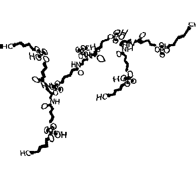 C#CCCCCOP(=O)(O)OCCCCC(=O)NCC(CNC(=O)CCCCOP(=O)(O)OCCCCC#C)OP(=O)(O)OCCCCC(=O)NCC(CNC(=O)CCCCOP(=O)(O)OC(CNC(=O)CCCCOP(=O)(O)OCCCCC#C)CNC(=O)CCCCOP(=O)(O)OCCCCC#C)OP(=O)(O)OC